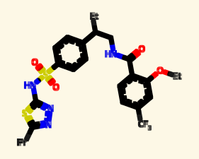 CCOc1cc(C(F)(F)F)ccc1C(=O)NCC(CC)c1ccc(S(=O)(=O)Nc2nnc(C(C)C)s2)cc1